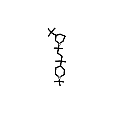 CC(C)(C)C1CCCN(C(C)(C)CCC(C)(C)C2CCN(C(C)(C)C)CC2)C1